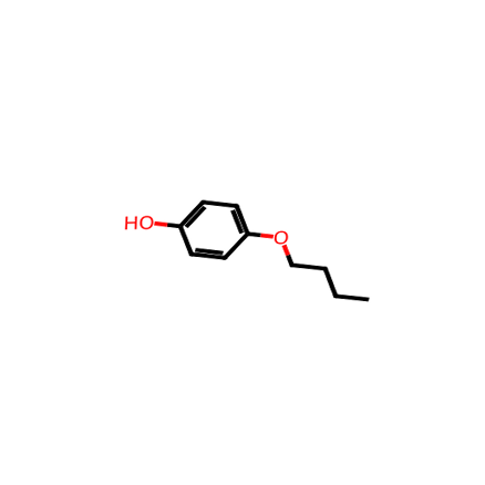 CCCCOc1ccc(O)cc1